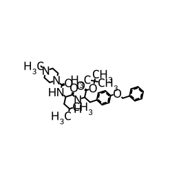 CC(C)CC(NC(=O)N1CCN(C)CC1)C(=O)NC(Cc1ccc(OCc2ccccc2)cc1)C(=O)OC(C)(C)C